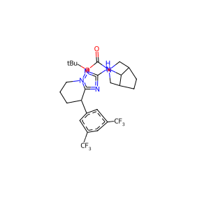 CC(C)(C)OC(=O)N1CC2CCC(C1)C2Nc1nc2n(n1)CCCC2c1cc(C(F)(F)F)cc(C(F)(F)F)c1